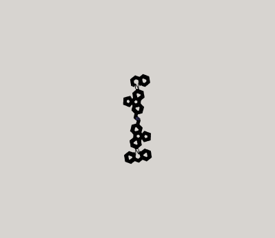 C1=CC2=C(CC1)N(c1ccc3c(c1)C1(CCCC1)c1cc(/C=C/c4ccc5c(c4)C4(CCCC4)c4cc(N6c7ccccc7Cc7ccccc76)ccc4-5)ccc1-3)CCC2